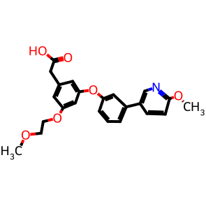 COCCOc1cc(CC(=O)O)cc(Oc2cccc(-c3ccc(OC)nc3)c2)c1